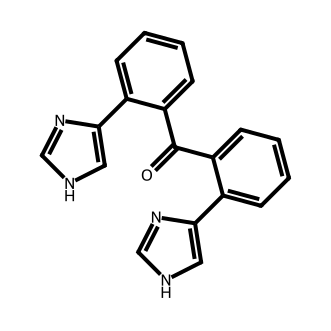 O=C(c1ccccc1-c1c[nH]cn1)c1ccccc1-c1c[nH]cn1